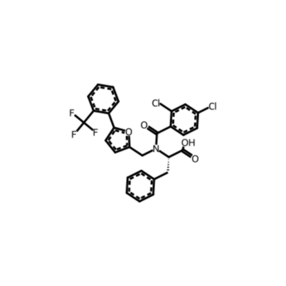 O=C(O)[C@H](Cc1ccccc1)N(Cc1ccc(-c2ccccc2C(F)(F)F)o1)C(=O)c1ccc(Cl)cc1Cl